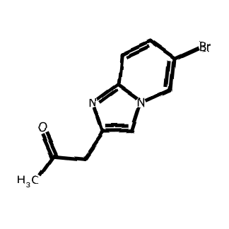 CC(=O)Cc1cn2cc(Br)ccc2n1